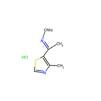 CO/N=C(\C)c1scnc1C.Cl